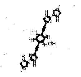 Cl.[2H]c1c([2H])c(C#Cc2c[nH]c([C@@H]3C[C@H](C)CN3)n2)c([2H])c([2H])c1C#Cc1c[nH]c([C@@H]2C[C@H](C)CN2)n1